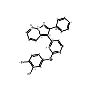 Fc1ccc(Nc2nccc(-c3c(-c4ccccc4)nn4ncccc34)n2)cc1F